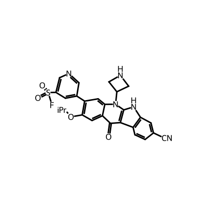 CC(C)Oc1cc2c(=O)c3c4ccc(C#N)cc4[nH]c3n(C3CNC3)c2cc1-c1cncc(S(=O)(=O)F)c1